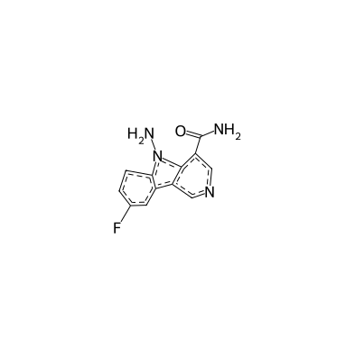 NC(=O)c1cncc2c3cc(F)ccc3n(N)c12